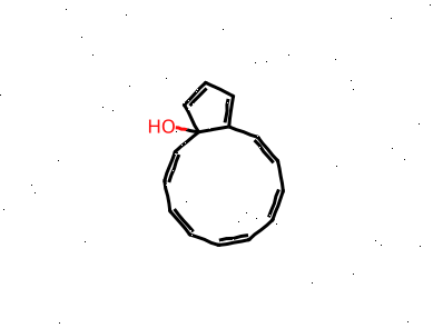 OC12C=CC=CC=CC=CC=CC1=CC=C2